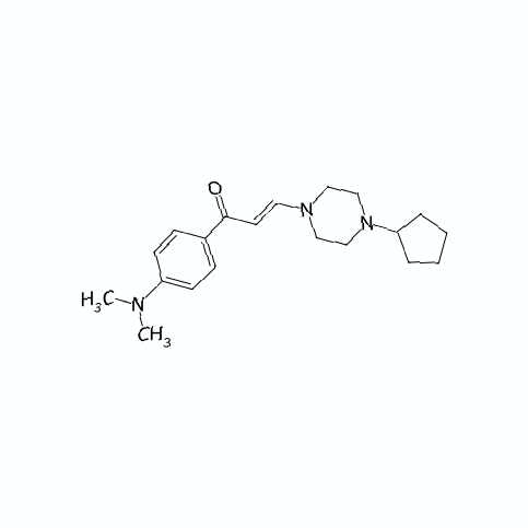 CN(C)c1ccc(C(=O)C=CN2CCN(C3CCCC3)CC2)cc1